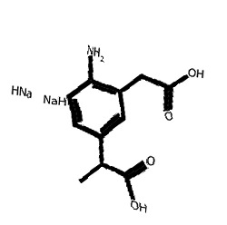 CC(C(=O)O)c1ccc(N)c(CC(=O)O)c1.[NaH].[NaH]